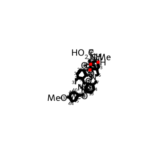 COc1ccc(CN(Cc2ccc(OC)cc2)S(=O)(=O)c2c(S(=O)(=O)C(CO)CNC(=O)O)ccc(I)c2-c2nnn(Cc3ccc(OC)cc3)n2)cc1